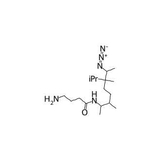 CC(CCC(C)(C(C)C)C(C)N=[N+]=[N-])C(C)NC(=O)CCCN